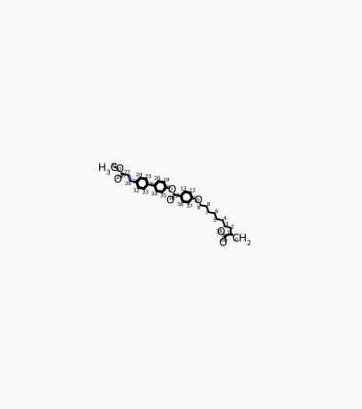 C=C1CC(CCCCCCOc2ccc(C(=O)Oc3ccc(-c4ccc(/C=C/C(=O)OC)cc4)cc3)cc2)OC1=O